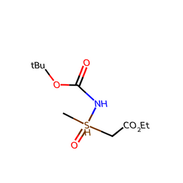 CCOC(=O)C[SH](C)(=O)NC(=O)OC(C)(C)C